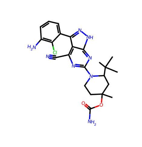 CC1(OC(N)=O)CCN(c2nc(C#N)c3c(-c4cccc(N)c4Cl)n[nH]c3n2)C(C(C)(C)C)C1